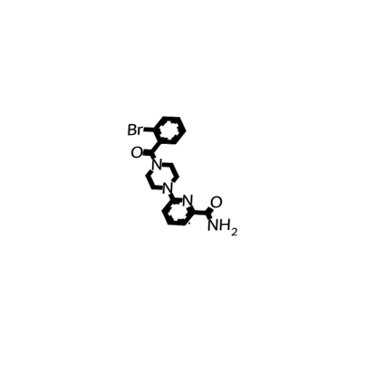 NC(=O)c1[c]ccc(N2CCN(C(=O)c3ccccc3Br)CC2)n1